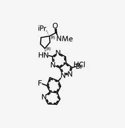 CNC(=O)[C@]1(C(C)C)CC[C@@H](Nc2ncc3c(Br)nn(-c4cc(F)c5ncccc5c4)c3n2)C1.Cl